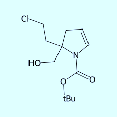 CC(C)(C)OC(=O)N1C=CCC1(CO)CCCl